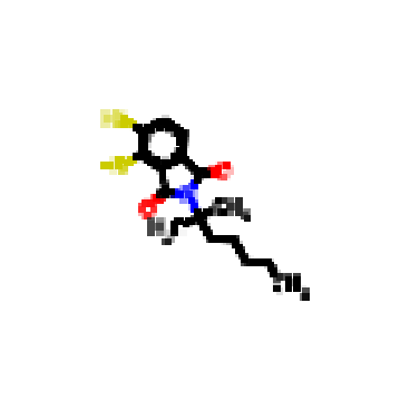 CCCCCC(C)(C)N1C(=O)c2ccc(S)c(S)c2C1=O